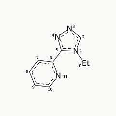 CCn1[c]nnc1-c1ccccn1